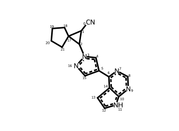 N#CC1C(n2cc(-c3ncnc4[nH]ccc34)cn2)C12CCCC2